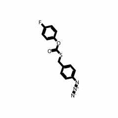 [N-]=[N+]=Nc1ccc(CSC(=O)Oc2ccc(F)cc2)cc1